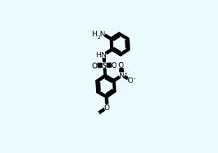 COc1ccc(S(=O)(=O)Nc2ccccc2N)c([N+](=O)[O-])c1